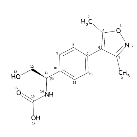 Cc1noc(C)c1-c1ccc([C@H](CO)NC(=O)O)cc1